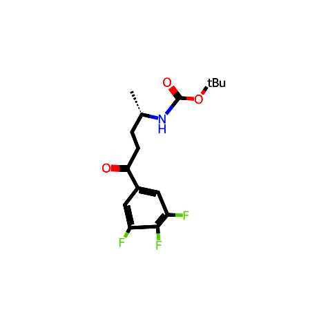 C[C@@H](CCC(=O)c1cc(F)c(F)c(F)c1)NC(=O)OC(C)(C)C